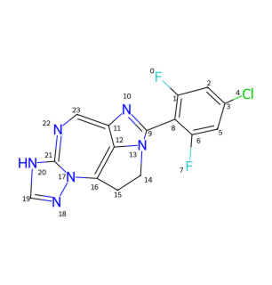 Fc1cc(Cl)cc(F)c1-c1nc2c3n1CCC=3N1N=CNC1=NC=2